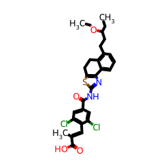 CCOC(CC)CCc1cccc2c1CCc1sc(NC(=O)c3cc(Cl)c(C=C(C)C(=O)O)c(Cl)c3)nc1-2